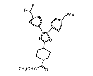 COc1ccc(-c2oc(C3CCN(C(=O)N(C)O)CC3)nc2-c2ccc(C(F)F)cc2)cc1